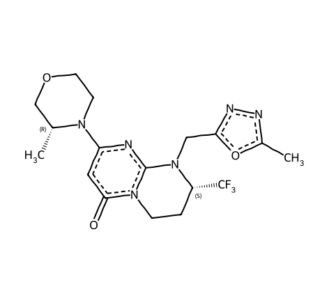 Cc1nnc(CN2c3nc(N4CCOC[C@H]4C)cc(=O)n3CC[C@H]2C(F)(F)F)o1